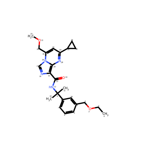 CCOCc1cccc(C(C)(C)NC(=O)c2ncn3c(COC)cc(C4CC4)nc23)c1